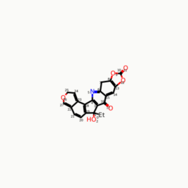 CCC1(O)C2=C(N=C3Cc4oc(=O)oc4C=C3C2=O)c2c1ccc1c2=CCOC=1